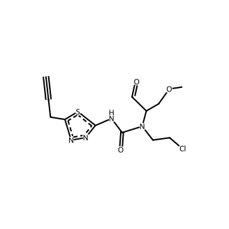 C#CCc1nnc(NC(=O)N(CCCl)C(C=O)COC)s1